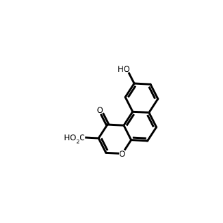 O=C(O)c1coc2ccc3ccc(O)cc3c2c1=O